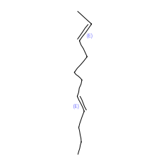 C/C=C/CCC/C=C/CCC